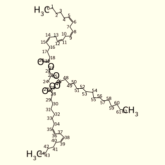 CCCCC/C=C\C/C=C\C/C=C\C/C=C\CCCC(=O)OC[C@H](COC(=O)CCCCCCC/C=C\C/C=C\CCCCC)OC(=O)CCCCCCCCCCCCCCC